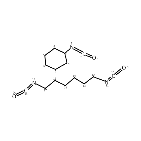 O=C=NC1CCCCC1.O=C=NCCCCCCN=C=O